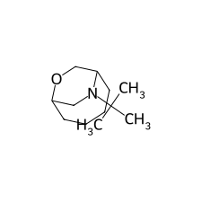 CC(C)(C)N1CC2CCCCC1CO2